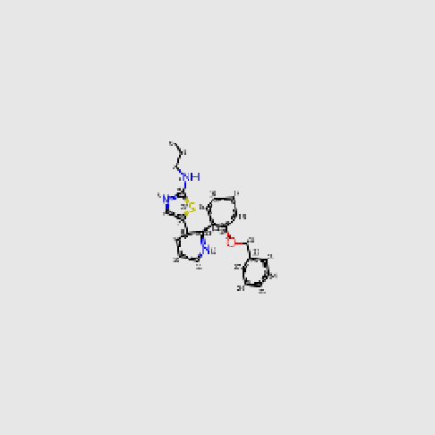 CCCNc1ncc(-c2cccnc2-c2ccccc2OCc2ccccc2)s1